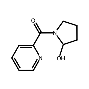 O=C(c1ccccn1)N1CCC[C]1O